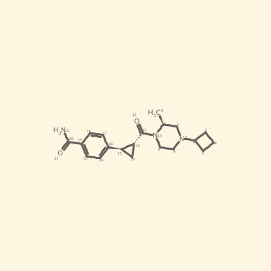 C[C@H]1CN(C2CCC2)CCN1C(=O)[C@@H]1C[C@H]1c1ccc(C(N)=O)cc1